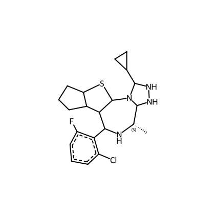 C[C@@H]1NC(c2c(F)cccc2Cl)C2C3CCCC3SC2N2C(C3CC3)NNC12